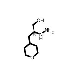 NN[C@H](CO)CC1CCOCC1